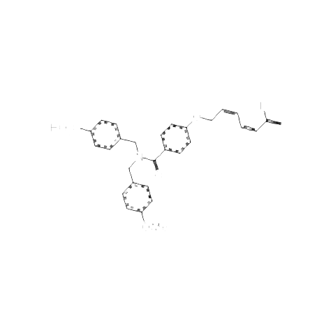 C=C(F)/C=C\C=C/COc1ccc(C(=O)N(Cc2ccc(OC)cc2)Cc2ccc(C(=O)O)cc2)cc1